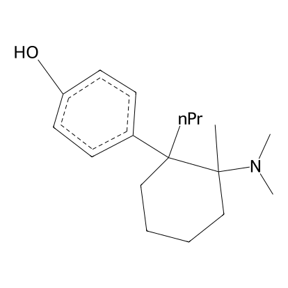 CCCC1(c2ccc(O)cc2)CCCCC1(C)N(C)C